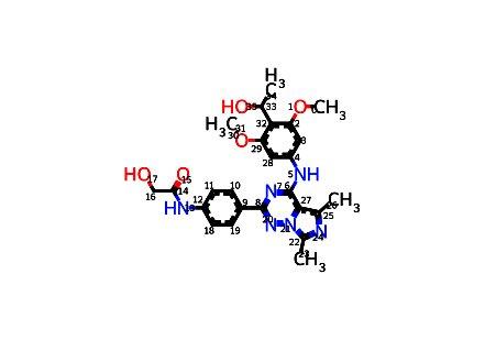 COc1cc(Nc2nc(-c3ccc(NC(=O)CO)cc3)nn3c(C)nc(C)c23)cc(OC)c1C(C)O